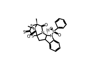 CN1C(=O)C23CC4c5ccccc5N(S(=O)(=O)c5ccccc5)[C@@H]4N2C(=O)[C@@]1(C)SC(=S)S3